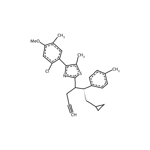 C#CCC(c1nc(-c2cc(C)c(OC)cc2Cl)c(C)s1)[C@@H](CC1CC1)c1ccc(C)cc1